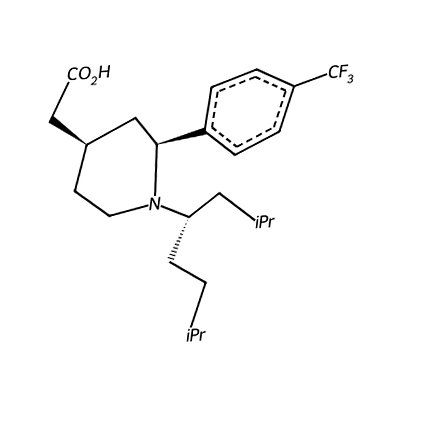 CC(C)CC[C@@H](CC(C)C)N1CC[C@@H](CC(=O)O)C[C@H]1c1ccc(C(F)(F)F)cc1